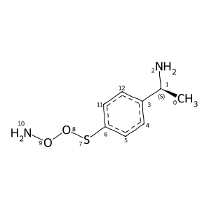 C[C@H](N)c1ccc(SOON)cc1